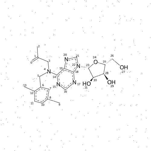 C=C(C)CN(Cc1cc(C)ccc1C)c1ncnc2c1ncn2[C@@H]1O[C@H](CO)[C@@H](O)[C@H]1O